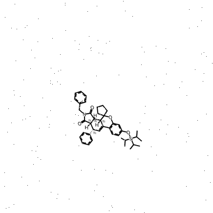 CC(C)[Si](Oc1ccc2c(c1)OC1(CCCC1)[C@@H]1C2=C[C@H](c2ccccc2)[C@@H]2C(=O)N(Cc3ccccc3)C(=O)[C@@H]21)(C(C)C)C(C)C